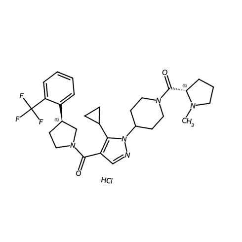 CN1CCC[C@H]1C(=O)N1CCC(n2ncc(C(=O)N3CC[C@@H](c4ccccc4C(F)(F)F)C3)c2C2CC2)CC1.Cl